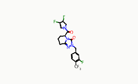 O=C(C1CCCc2nn(Cc3ccc(C(F)(F)F)c(F)c3)c(=O)n21)N1CC(F)C(F)C1